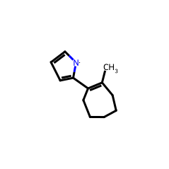 CC1=C(C2=CC=C[N]2)CCCCC1